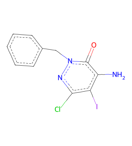 Nc1c(I)c(Cl)nn(Cc2ccccc2)c1=O